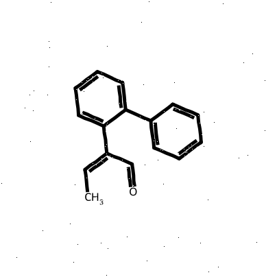 CC=C(C=O)c1ccccc1-c1ccccc1